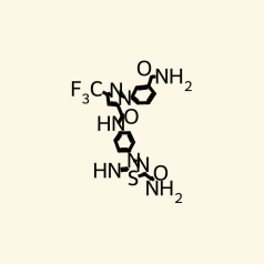 N=c1sc(C(N)=O)nn1-c1ccc(NC(=O)c2cc(C(F)(F)F)nn2-c2cccc(C(N)=O)c2)cc1